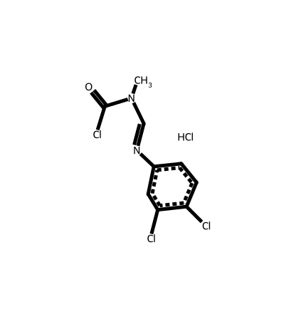 CN(C=Nc1ccc(Cl)c(Cl)c1)C(=O)Cl.Cl